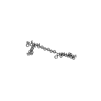 CC(C)(C)OC(=O)N1CCN(c2nc(NCCOCCOCCOCCOCCOCCOCCc3cc(Cl)cc(NC(=O)NCc4ccc5c(c4)CN(C4CCC(=O)NC4=O)C5=O)c3)nc3c(F)c(Br)c(Cl)cc23)CC1